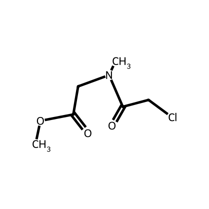 COC(=O)CN(C)C(=O)CCl